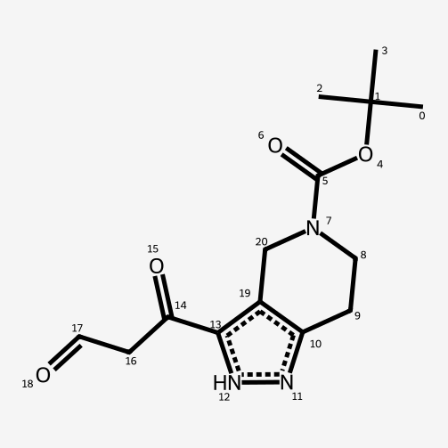 CC(C)(C)OC(=O)N1CCc2n[nH]c(C(=O)CC=O)c2C1